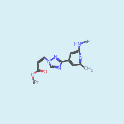 Cc1cc(-c2ncn(/C=C\C(=O)OC(C)C)n2)cc(NC(C)C)n1